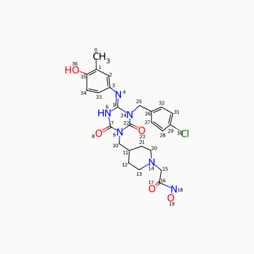 Cc1cc(/N=c2\[nH]c(=O)n(CC3CCN(CC(=O)N=O)CC3)c(=O)n2Cc2ccc(Cl)cc2)ccc1O